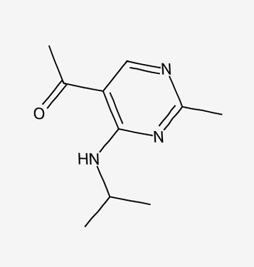 CC(=O)c1cnc(C)nc1NC(C)C